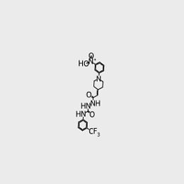 O=C(C=C1CCN(c2cccc([N+](=O)O)c2)CC1)NNC(=O)Nc1cccc(C(F)(F)F)c1